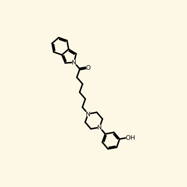 O=C(CCCCCN1CCN(c2cccc(O)c2)CC1)n1cc2ccccc2c1